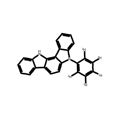 [2H]c1c([2H])c([2H])c(-n2c3ccccc3c3c4[nH]c5ccccc5c4ccc32)c([2H])c1[2H]